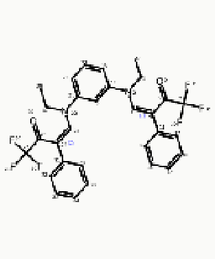 CCN(/C=C(\C(=O)C(F)(F)F)c1ccccc1)c1cccc(N(/C=C(\C(=O)C(F)(F)F)c2ccccc2)CC)c1